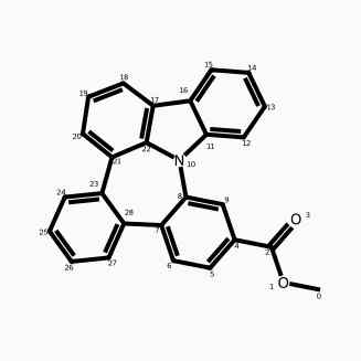 COC(=O)c1ccc2c(c1)-n1c3ccccc3c3cccc(c31)-c1ccccc1-2